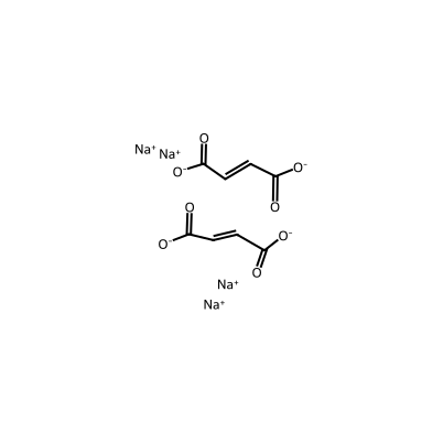 O=C([O-])C=CC(=O)[O-].O=C([O-])C=CC(=O)[O-].[Na+].[Na+].[Na+].[Na+]